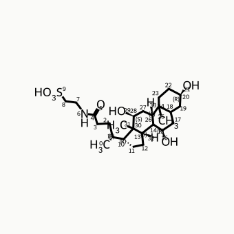 C[C@H](CCC(=O)NCCS(=O)(=O)O)[C@H]1CC[C@H]2C3[C@H](O)CC4C[C@H](O)CCC4(C)[C@H]3C[C@H](O)C12C